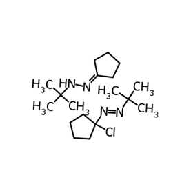 CC(C)(C)N=NC1(Cl)CCCC1.CC(C)(C)NN=C1CCCC1